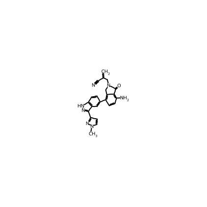 C=C(C#N)CN1Cc2c(-c3ccc4[nH]nc(-c5ccn(C)n5)c4c3)ccc(N)c2C1=O